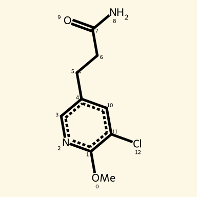 COc1ncc([CH]CC(N)=O)cc1Cl